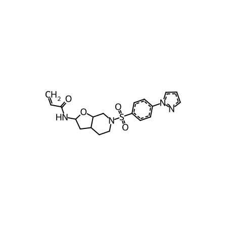 C=CC(=O)NC1CC2CCN(S(=O)(=O)c3ccc(-n4cccn4)cc3)CC2O1